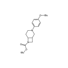 CC(C)(C)OC(=O)N1CC2CN(c3ccc(OC(C)(C)C)cc3)CCC21